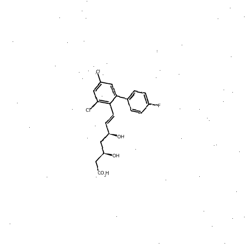 O=C(O)C[C@H](O)C[C@H](O)/C=C/c1c(Cl)cc(Cl)cc1-c1ccc(F)cc1